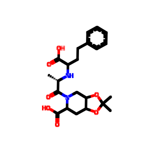 C[C@H](NC(CCc1ccccc1)C(=O)O)C(=O)N1CC2OC(C)(C)OC2CC1C(=O)O